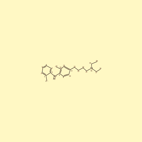 [CH2]c1ccccc1Nc1ccc(CCCCN(CC)CC)cc1[CH2]